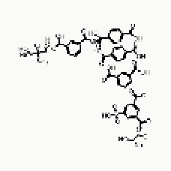 CC(C)(CO)CO.O=C(O)c1ccc(C(=O)O)cc1.O=C(O)c1ccc(C(=O)O)cc1.O=C(O)c1cccc(C(=O)O)c1.O=C(O)c1cccc(C(=O)O)c1.O=C([O-])c1cc(C(=O)[O-])cc(S(=O)(=O)O)c1.OCCO.[Na+].[Na+]